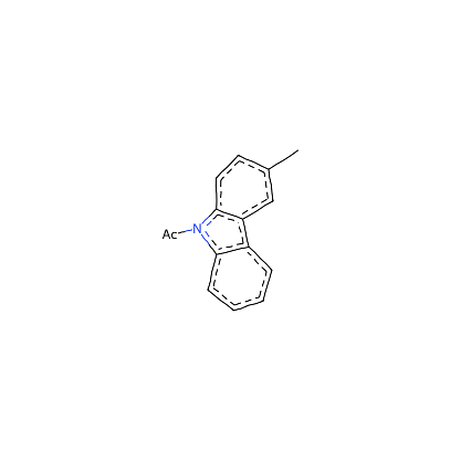 CC(=O)n1c2ccccc2c2cc(C)ccc21